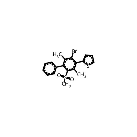 Cc1c(Br)c(-c2cccs2)c(C)c(S(C)(=O)=O)c1-c1ccccc1